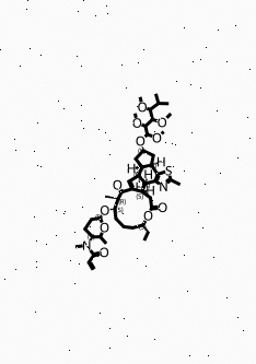 C=CC(=O)N(C)[C@H]1CC[C@H](O[C@H]2CCC[C@H](CC)OC(=O)C[C@@H]3C(=C[C@H]4[C@@H]5C[C@H](OC(OC)C(OC)C(OC)C(OC)C(C)C)C[C@H]5c5sc(C)nc5[C@H]43)C(=O)[C@@H]2C)OC1C